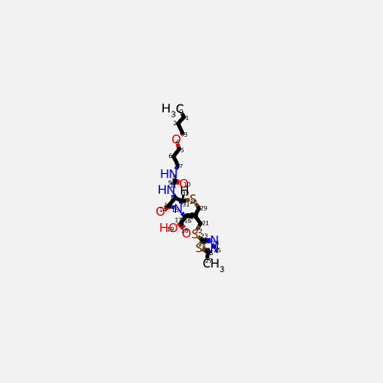 CCCCOCCCNC(=O)NC1C(=O)N2C(C(=O)O)=C(CSc3nnc(C)s3)CS[C@@H]12